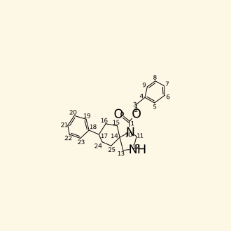 O=C(OCc1ccccc1)N1CNCC12CCC(c1ccccc1)CC2